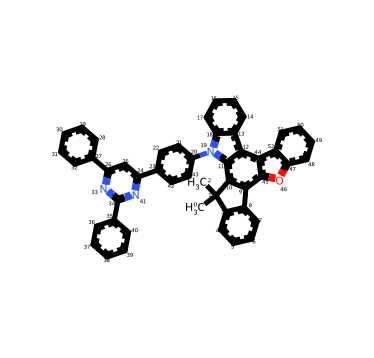 CC1(C)c2ccccc2-c2c1c1c(c3ccccc3n1-c1ccc(-c3cc(-c4ccccc4)nc(-c4ccccc4)n3)cc1)c1c2oc2ccccc21